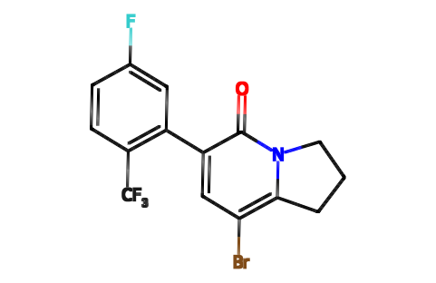 O=c1c(-c2cc(F)ccc2C(F)(F)F)cc(Br)c2n1CCC2